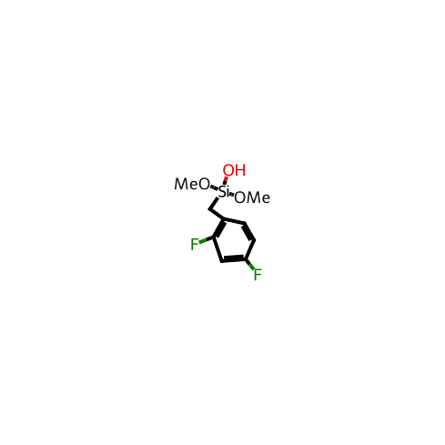 CO[Si](O)(Cc1ccc(F)cc1F)OC